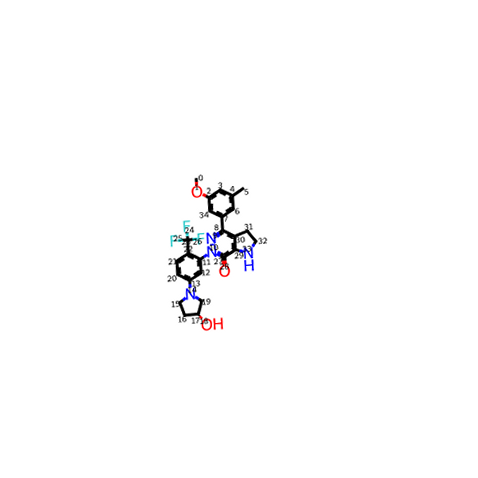 COc1cc(C)cc(-c2nn(-c3cc(N4CC[C@H](O)C4)ccc3C(F)(F)F)c(=O)c3c2CCN3)c1